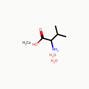 CC(C)C(N)C(=O)O.O.O.[CaH2]